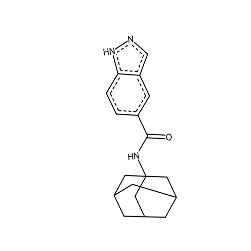 O=C(NC12CC3CC(CC(C3)C1)C2)c1ccc2[nH]ncc2c1